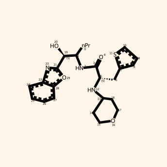 CCCC(NC(=O)[C@H](Cc1cccs1)NC1CCOCC1)[C@H](O)c1nc2ccccc2o1